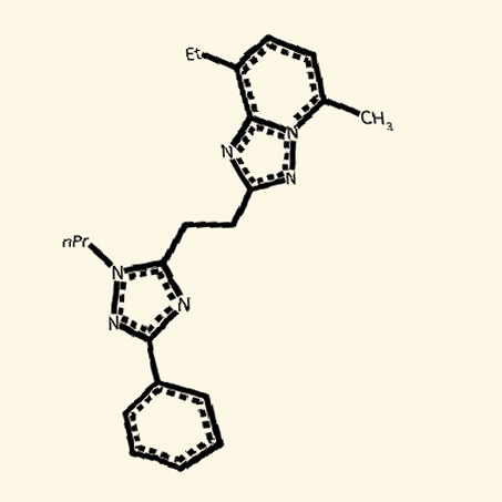 CCCn1nc(-c2ccccc2)nc1CCc1nc2c(CC)ccc(C)n2n1